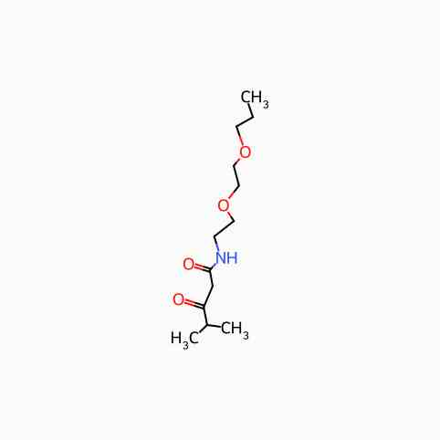 CCCOCCOCCNC(=O)CC(=O)C(C)C